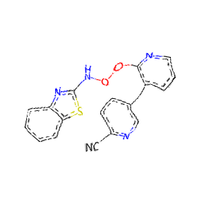 N#Cc1ccc(-c2cccnc2OONc2nc3ccccc3s2)cn1